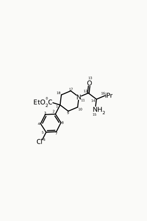 CCOC(=O)C1(c2ccc(Cl)cc2)CCN(C(=O)C(N)C(C)C)CC1